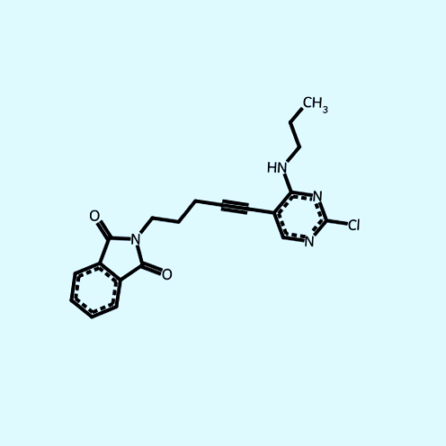 CCCNc1nc(Cl)ncc1C#CCCCN1C(=O)c2ccccc2C1=O